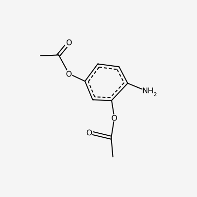 CC(=O)Oc1ccc(N)c(OC(C)=O)c1